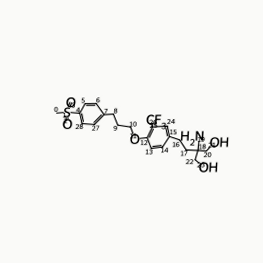 CS(=O)(=O)c1ccc(CCCOc2ccc(CCC(N)(CO)CO)cc2C(F)(F)F)cc1